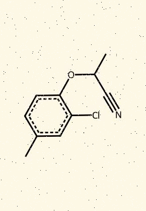 Cc1ccc(OC(C)C#N)c(Cl)c1